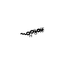 CCCCCC1CCC([SiH]2CCC(OC(=O)c3ccc(OC(F)(F)F)cc3)CC2)CC1